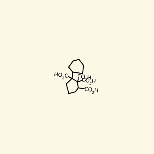 O=C(O)C1CCCC(C(=O)O)(C2CCCCC2)C1(C(=O)O)C(=O)O